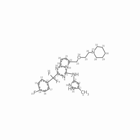 Cc1cc(Nc2nc(C(F)(F)c3ccc(F)cc3)nc3ccc(COCCN4CCCCC4)n23)n[nH]1